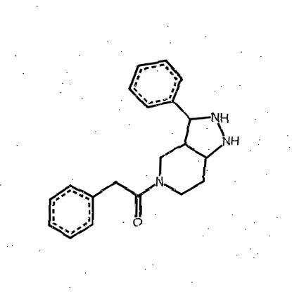 O=C(Cc1ccccc1)N1CCC2NNC(c3ccccc3)C2C1